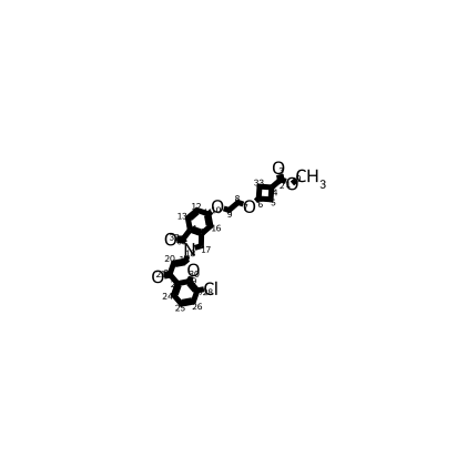 COC(=O)C1CC(OCCOc2ccc3c(c2)CN(c2cc(=O)c4cccc(Cl)c4o2)C3=O)C1